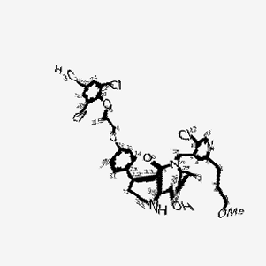 COCCCc1cc(CN(C(=O)C2=C(c3ccc(OCCOc4c(Cl)cc(C)cc4Cl)cc3)CCN[C@@H]2CO)C2CC2)c(Cl)cn1